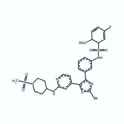 COC1C=CC(F)=CC1S(=O)(=O)Nc1cccc(-c2nc(C(C)C)sc2-c2ccnc(NC3CCN(S(C)(=O)=O)CC3)n2)c1